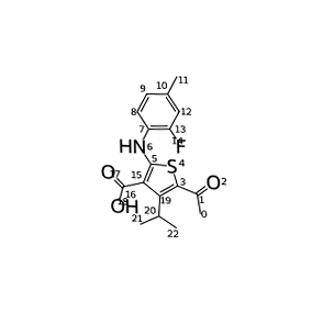 CC(=O)c1sc(Nc2ccc(C)cc2F)c(C(=O)O)c1C(C)C